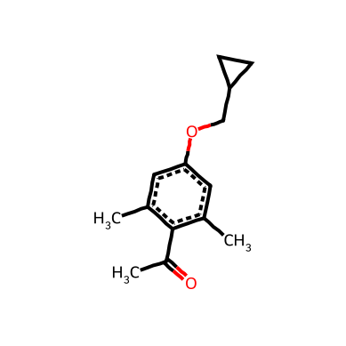 CC(=O)c1c(C)cc(OCC2CC2)cc1C